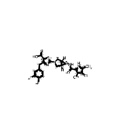 Cc1[nH]c(C(=O)N[C@@H]2[C@@H]3CN(c4nc(Cc5ccc(F)c(F)c5)c(C(=O)O)s4)C[C@@H]32)c(Cl)c1Cl